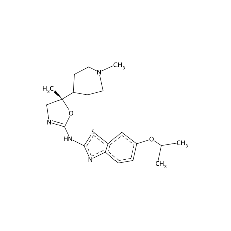 CC(C)Oc1ccc2nc(NC3=NC[C@](C)(C4CCN(C)CC4)O3)sc2c1